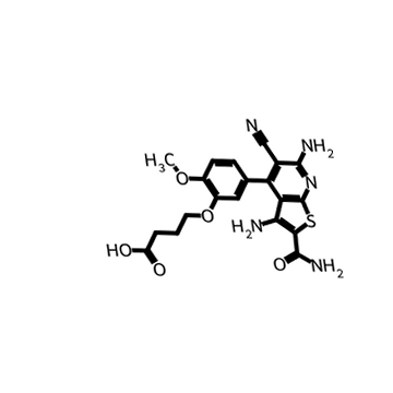 COc1ccc(-c2c(C#N)c(N)nc3sc(C(N)=O)c(N)c23)cc1OCCCC(=O)O